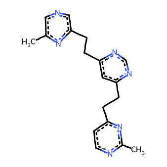 Cc1cncc(CCc2cc(CCc3ccnc(C)n3)ncn2)n1